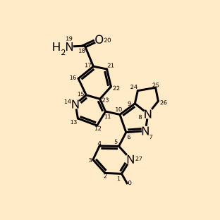 Cc1cccc(-c2nn3c(c2-c2ccnc4cc(C(N)=O)ccc24)CCC3)n1